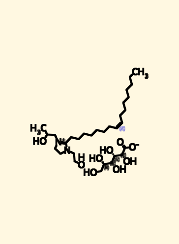 CCCCCCCC/C=C\CCCCCCCC1=[N+](CC(C)O)CCN1CCO.O=C([O-])[C@H](O)[C@@H](O)[C@H](O)[C@H](O)CO